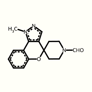 Cn1ncc2c1-c1ccccc1OC21CCN(C=O)CC1